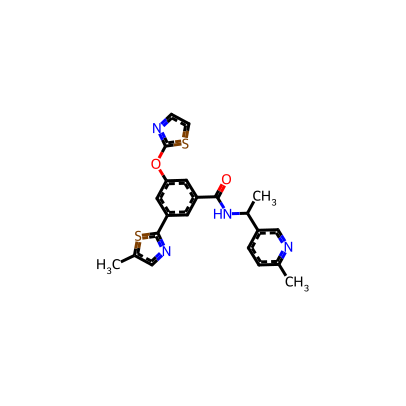 Cc1ccc(C(C)NC(=O)c2cc(Oc3nccs3)cc(-c3ncc(C)s3)c2)cn1